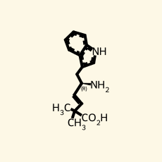 CC(C)(C=C[C@H](N)Cc1c[nH]c2ccccc12)C(=O)O